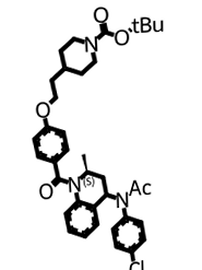 CC(=O)N(c1ccc(Cl)cc1)C1C[C@H](C)N(C(=O)c2ccc(OCCC3CCN(C(=O)OC(C)(C)C)CC3)cc2)c2ccccc21